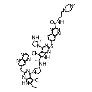 CCc1[nH]c2nc(Sc3cnc4nccnc4c3)nc(N3CC[C@H](NC(C)c4[nH]c5nc(Sc6ccc7nc(C(=O)NCCCN8CCN(C)CC8)nnc7c6)nc(N6CC[C@H](N)C6)c5c4Cl)C3)c2c1Cl